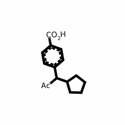 CC(=O)C(c1ccc(C(=O)O)cc1)C1CCCC1